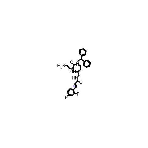 NCC[C@@H]1N[C@H](CNC(=O)/C=C/c2ccc(F)cc2F)CCN(CC(c2ccccc2)c2ccccc2)C1=O